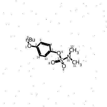 CCCCOc1ccc(OS(=O)(=O)N(C)C)cc1